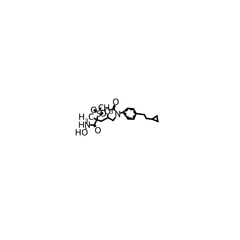 CC(CC1CN(c2ccc(CCC3CC3)cc2)C(=O)O1)(C(=O)NO)S(C)(=O)=O